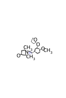 COc1ccc(/C=C/n2c(C)cc(=O)cc2C)cc1OC1CCCO1